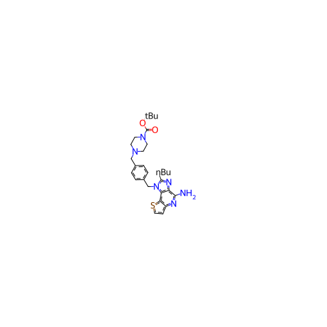 CCCCc1nc2c(N)nc3ccsc3c2n1Cc1ccc(CN2CCN(C(=O)OC(C)(C)C)CC2)cc1